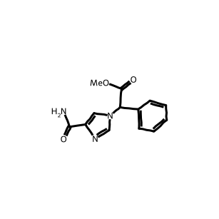 COC(=O)C(c1ccccc1)n1cnc(C(N)=O)c1